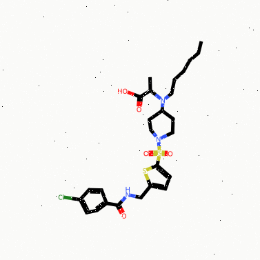 CCCCCCN(C1CCN(S(=O)(=O)c2ccc(CNC(=O)c3ccc(Cl)cc3)s2)CC1)C(C)C(=O)O